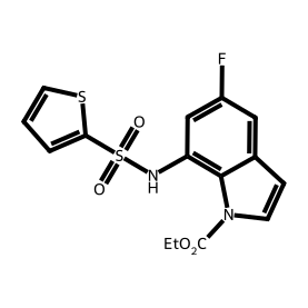 CCOC(=O)n1ccc2cc(F)cc(NS(=O)(=O)c3cccs3)c21